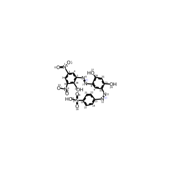 O=[N+]([O-])c1cc(/N=N/c2cc(/N=N\c3ccc(S(=O)(=O)O)cc3)c(O)cc2O)c(O)c([N+](=O)[O-])c1